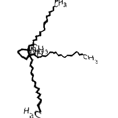 CCCCCCCCCCCCCCCCC1(CCCCCCCCCCCCCCCC)CCCCC1(CCCCCCCCCCCCCCCC)NC